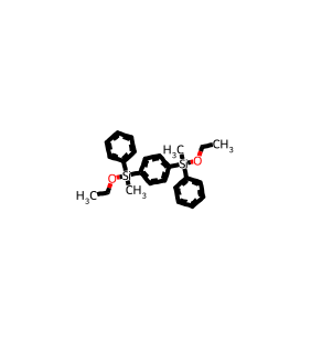 CCO[Si](C)(c1ccccc1)c1ccc([Si](C)(OCC)c2ccccc2)cc1